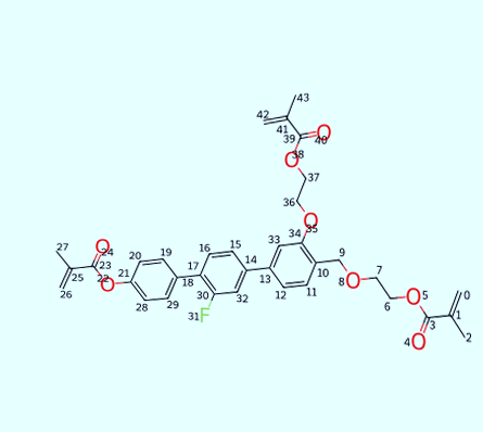 C=C(C)C(=O)OCCOCc1ccc(-c2ccc(-c3ccc(OC(=O)C(=C)C)cc3)c(F)c2)cc1OCCOC(=O)C(=C)C